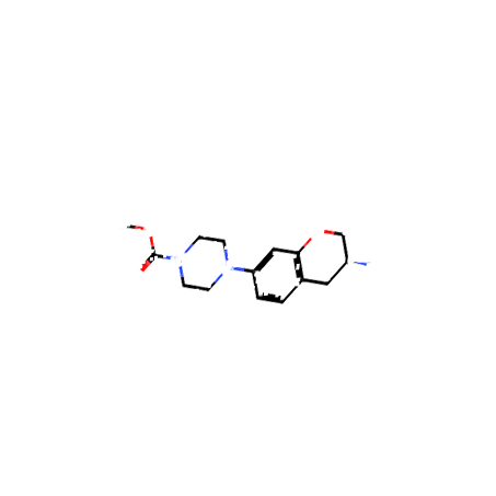 CC(C)(C)OC(=O)N1CCN(c2ccc3c(c2)OC[C@@H](N)C3)CC1